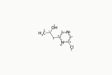 CC(O)Cc1cncc(Cl)n1